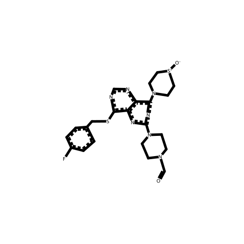 O=CN1CCN(c2nc(N3CC[S+]([O-])CC3)c3ncnc(SCc4ccc(F)cc4)c3n2)CC1